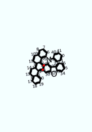 c1ccc(N(c2cccc3ccc4c5ccc6ccccc6c5ccc4c23)c2cccc3oc4ccccc4c23)cc1